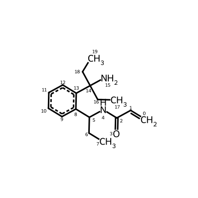 C=CC(=O)NC(CC)c1ccccc1C(N)(CC)CC